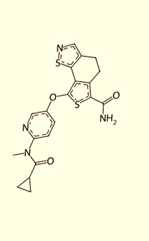 CN(C(=O)C1CC1)c1ccc(Oc2sc(C(N)=O)c3c2-c2sncc2CC3)cn1